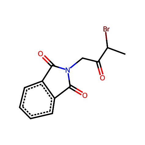 CC(Br)C(=O)CN1C(=O)c2ccccc2C1=O